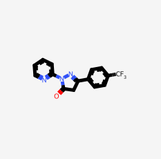 O=C1CC(c2ccc(C(F)(F)F)cc2)=NN1c1ccccn1